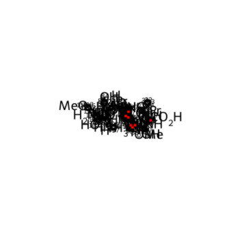 COCC[C@@H](C(=O)N1C[C@@H](O)C[C@@H]1C(=O)N[C@@H](CC(=O)O)C(=O)N[C@H](C(=O)N(C)[C@@H](C=O)Cc1ccccc1)C(C)C)N(C)C(=O)[C@H](Cc1ccccc1)N(C)C(=O)[C@H](Cc1ccc(F)c(F)c1)NC(=O)CSC[C@H](NC(=O)[C@H](CC(C)C)NC(=O)[C@H](Cc1ccc(O)cc1)NC(=O)[C@H](Cc1c[nH]c2ccccc12)NC(=O)[C@H]1C[C@H](O)CN1C(=O)[C@@H](N)Cc1ccc(OC)cc1)C(=O)NCC(N)=O